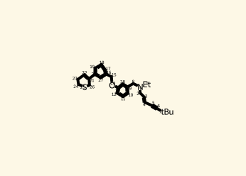 CCN(CC=CC#CC(C)(C)C)Cc1cccc(OCc2cccc(C3=CCCSC3)c2)c1